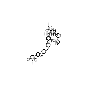 CN1CCN(C2CCCN(c3nnc(C(N)=O)c(Nc4ccc(N5CCN(CC6CCN(c7ccc(N8CCC(=O)NC8=O)cc7F)CC6)CC5)c(F)c4)n3)C2)C1=O